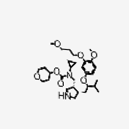 COCCCOc1cc(OC(C[C@H]2CNC[C@@H]2CN(C(=O)OC2CCOCC2)C2CC2)C(C)C)ccc1OC